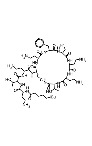 CCC(C)CCCCC(=O)NC(CCN)C(=O)NC(C(=O)NC(CCN)C(=O)NC1CCNC(=O)C(C(C)O)NC(=O)C(CCN)NC(=O)C(CCN)NC(=O)C(CC(C)C)NC(=O)C(Cc2ccccc2)NC(=O)C(CCN)NC1=O)C(C)O